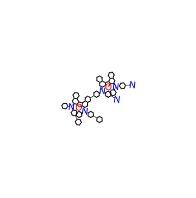 N#Cc1ccc(N(c2ccccc2)c2cc3ccccc3c3c2oc2c(N(c4ccc(C#N)cc4)c4ccc(-c5ccc6c(c5)cc(N(c5ccccc5)c5ccc(-c7ccccc7)cc5)c5oc7c(N(c8ccccc8)c8ccc(-c9ccccc9)cc8)cc8ccccc8c7c56)cc4)cc4ccccc4c23)cc1